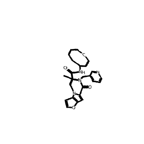 CC1(C(=O)NC2CCCCCCC2)Cn2c(cc3occc32)C(=O)N1Cc1cccnc1